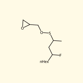 CCCCCCC(F)CC(C)SOCC1CO1